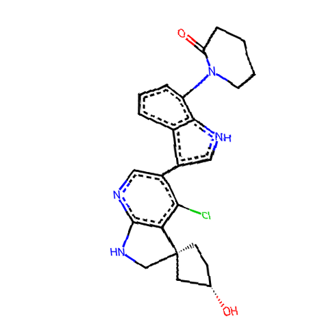 O=C1CCCCN1c1cccc2c(-c3cnc4c(c3Cl)[C@]3(CC[C@H](O)C3)CN4)c[nH]c12